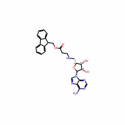 Nc1ncnc2c1ncn2C1O[C@H](CNCCC(=O)OCC2c3ccccc3-c3ccccc32)[C@@H](O)[C@H]1O